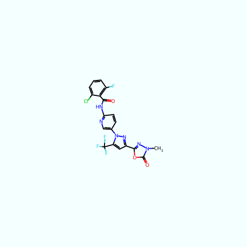 Cn1nc(-c2cc(C(F)(F)F)n(-c3ccc(NC(=O)c4c(F)cccc4Cl)nc3)n2)oc1=O